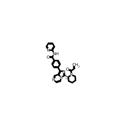 C=CC(=O)N1CCCC[C@H]1c1nc(-c2ccc(C(=O)Nc3ccccn3)cc2)c2cnccn12